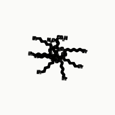 CC(=CC[Si]12O[Si]3(CCCCCC(C)C)O[Si]4(CCCCCC(C)C)O[Si](CCCCCC(C)C)(O1)O[Si]1(CCCCCC(C)C)O[Si](CCCCCC(C)C)(O2)O[Si](CCCCCC(C)C)(O3)O[Si](CCCCCC(C)C)(O4)O1)C(=O)O